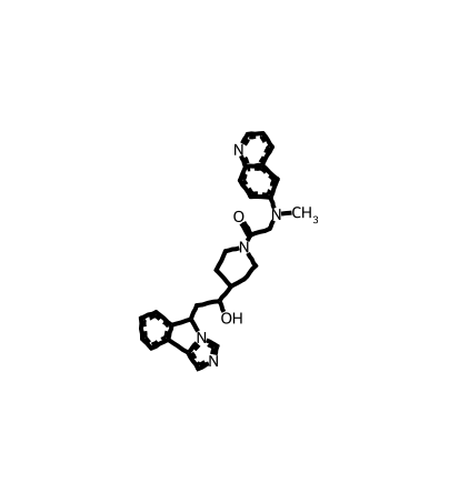 CN(CC(=O)N1CCC(C(O)CC2c3ccccc3-c3cncn32)CC1)c1ccc2ncccc2c1